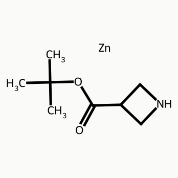 CC(C)(C)OC(=O)C1CNC1.[Zn]